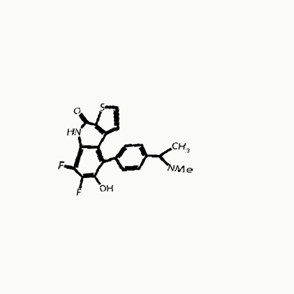 CNC(C)c1ccc(-c2c(O)c(F)c(F)c3[nH]c(=O)c4sccc4c23)cc1